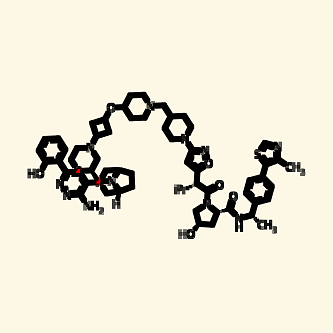 Cc1ncsc1-c1ccc([C@H](C)NC(=O)[C@@H]2C[C@@H](O)CN2C(=O)[C@@H](c2cc(N3CCC(CN4CCC(OC5CC(N6CCO[C@H](CN7C8CC[C@@H]7CN(c7cc(-c9ccccc9O)nnc7N)C8)C6)C5)CC4)CC3)no2)C(C)C)cc1